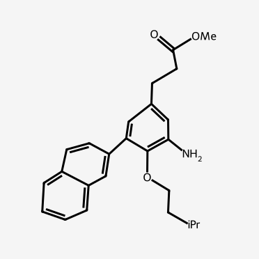 COC(=O)CCc1cc(N)c(OCCC(C)C)c(-c2ccc3ccccc3c2)c1